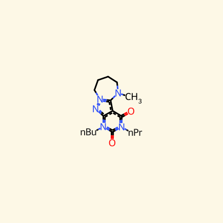 CCCCn1c(=O)n(CCC)c(=O)c2c3n(nc21)CCCCN3C